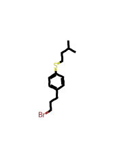 CC(C)CCSc1ccc(CCCBr)cc1